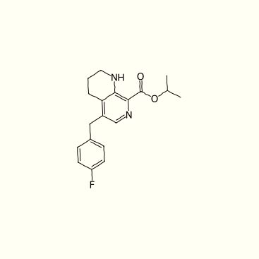 CC(C)OC(=O)c1ncc(Cc2ccc(F)cc2)c2c1NCCC2